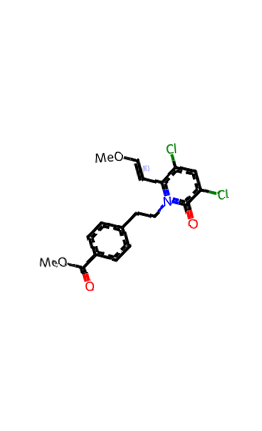 CO/C=C/c1c(Cl)cc(Cl)c(=O)n1CCc1ccc(C(=O)OC)cc1